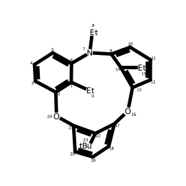 CCc1c2cccc1N(CC)c1cccc(c1CC)Oc1cccc(c1C(C)(C)C)O2